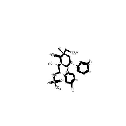 CC[C@@H](CNS(=O)(=O)C(F)(F)F)N1C(=O)[C@](C)(CC(=O)O)C[C@H](c2cccc(Cl)c2)[C@H]1c1ccc(Cl)cc1